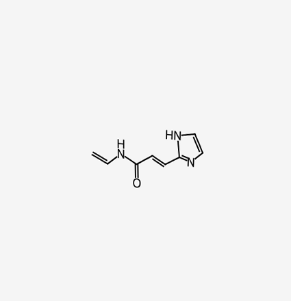 C=CNC(=O)C=Cc1ncc[nH]1